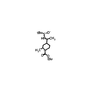 CC(N[S@+]([O-])C(C)(C)C)C1CCN(C(=O)OC(C)(C)C)C(C)C1